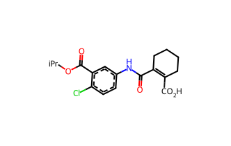 CC(C)OC(=O)c1cc(NC(=O)C2=C(C(=O)O)CCCC2)ccc1Cl